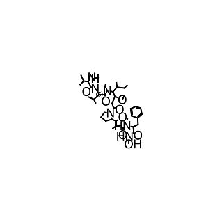 CCC(C)C(C(CC(=O)N1CCCC1C(OC)C(C)C(=O)NC(Cc1ccccc1)C(=O)NO)OC)N(C)C(=O)[C@@H](NC(=O)C(C(C)C)N(C)C)C(C)C